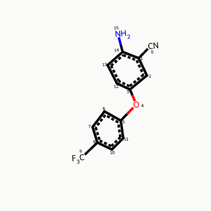 N#Cc1cc(Oc2ccc(C(F)(F)F)cc2)ccc1N